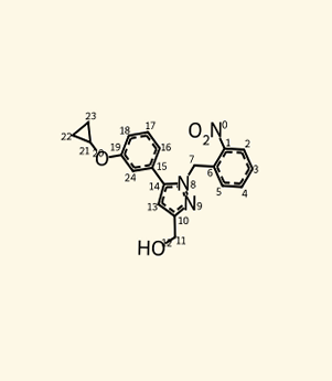 O=[N+]([O-])c1ccccc1Cn1nc(CO)cc1-c1cccc(OC2CC2)c1